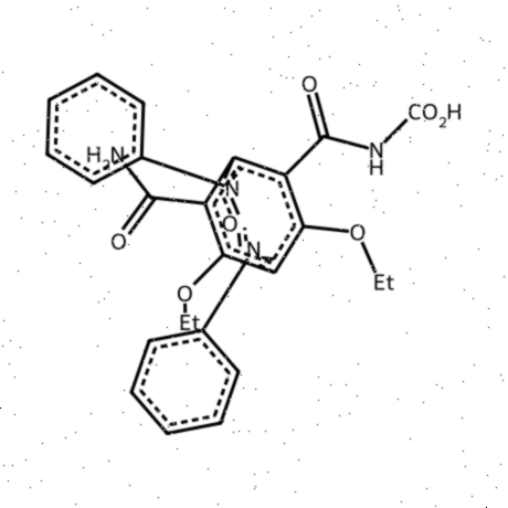 CCOc1c(C(N)=O)c2c(C(=O)NC(=O)O)c(OCC)c1n(-c1ccccc1)on2-c1ccccc1